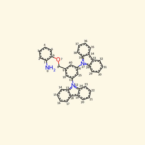 Nc1ccccc1OCc1cc(-n2c3ccccc3c3ccccc32)cc(-n2c3ccccc3c3ccccc32)c1